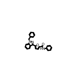 O=C(Nc1ccccc1)c1ccc(-c2nn(Cc3ccccc3)c3ccccc23)o1